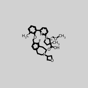 COC[C@H]1N(c2cccc(-c3cccc(C)c3OCc3ccc4c(c3F)CCN(C3COC3)CC4)n2)CC[C@@]1(C)C(=O)O